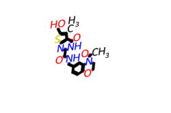 CC(=O)N1CCOc2ccc(CNC(=O)c3nc4sc(CO)c(C)c4c(=O)[nH]3)cc21